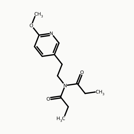 CCC(=O)N(CCc1ccc(OC)nc1)C(=O)CC